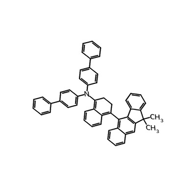 CC1(C)c2ccccc2-c2c1cc1ccccc1c2C1=c2ccccc2=C(N(c2ccc(-c3ccccc3)cc2)c2ccc(-c3ccccc3)cc2)CC1